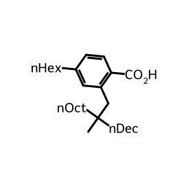 CCCCCCCCCCC(C)(CCCCCCCC)Cc1cc(CCCCCC)ccc1C(=O)O